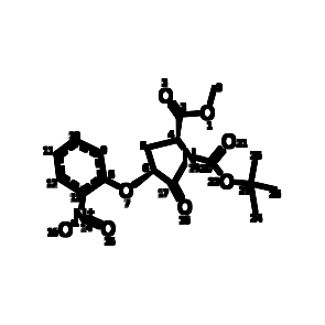 COC(=O)[C@@H]1C[C@H](Oc2ccccc2[N+](=O)[O-])C(=O)N1C(=O)OC(C)(C)C